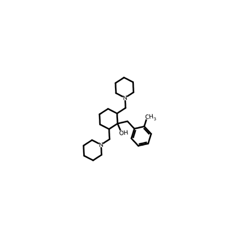 Cc1ccccc1CC1(O)C(CN2CCCCC2)CCCC1CN1CCCCC1